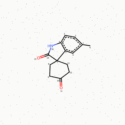 Cc1ccc2c(c1)C1(CCC(=O)CC1)C(=O)N2